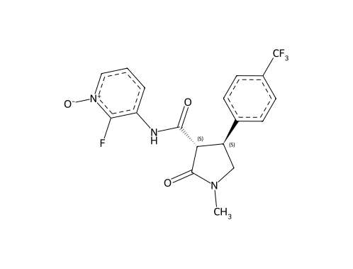 CN1C[C@H](c2ccc(C(F)(F)F)cc2)[C@@H](C(=O)Nc2ccc[n+]([O-])c2F)C1=O